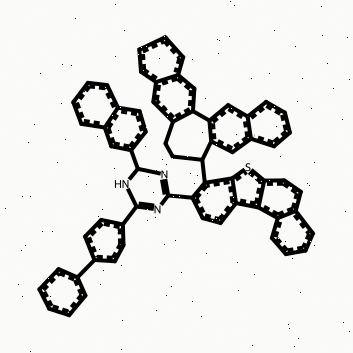 c1ccc(-c2ccc(C3=NC(c4ccc5c(sc6ccc7ccccc7c65)c4C4CCc5cc6ccccc6cc5-c5cc6ccccc6cc54)=NC(c4ccc5ccccc5c4)N3)cc2)cc1